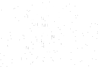 Cn1cc(NC(=O)C(Cc2ccccc2)n2cnc(-c3cc(Cl)ccc3N(N)/C=C(\N)Cl)cc2=O)nn1